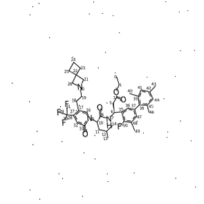 CCOC(=O)C[C@H](NC(=O)C(CC(C)C)n1cc(CCN2CC3(CCC3)C2)c(C(F)(F)F)cc1=O)c1cc(-c2c(C)cc(C)cc2C)cc(C)c1F